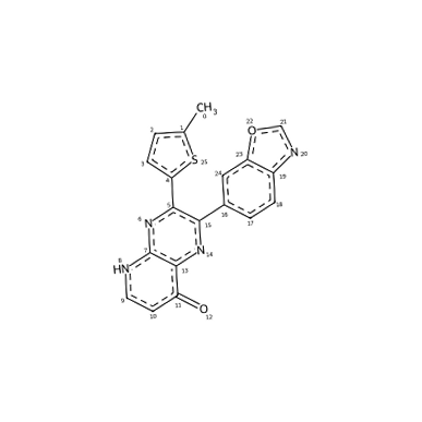 Cc1ccc(-c2nc3[nH]ccc(=O)c3nc2-c2ccc3ncoc3c2)s1